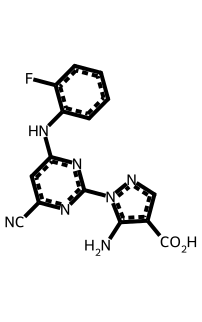 N#Cc1cc(Nc2ccccc2F)nc(-n2ncc(C(=O)O)c2N)n1